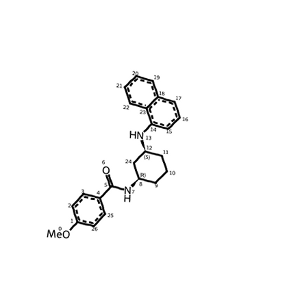 COc1ccc(C(=O)N[C@@H]2CCC[C@H](Nc3cccc4ccccc34)C2)cc1